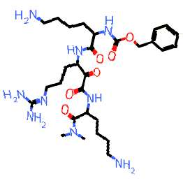 CN(C)C(=O)C(CCCCN)NC(=O)C(=O)C(CCCN=C(N)N)NC(=O)C(CCCCN)NC(=O)OCc1ccccc1